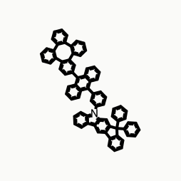 c1ccc(C2(c3ccccc3)c3ccccc3-c3cc4c5ccccc5n(-c5cccc(-c6c7ccccc7c(-c7ccc8c(c7)-c7ccccc7-c7ccccc7-c7ccccc7-8)c7ccccc67)c5)c4cc32)cc1